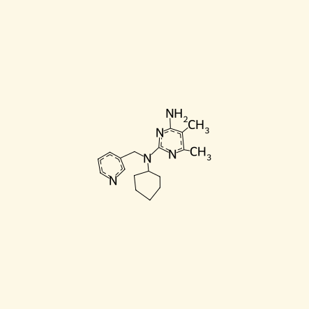 Cc1nc(N(Cc2cccnc2)C2CCCCC2)nc(N)c1C